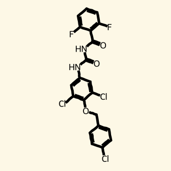 O=C(NC(=O)c1c(F)cccc1F)Nc1cc(Cl)c(OCc2ccc(Cl)cc2)c(Cl)c1